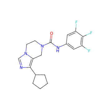 O=C(Nc1cc(F)c(F)c(F)c1)N1CCn2cnc(C3CCCC3)c2C1